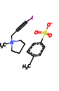 C[N+]1(CC#CI)CCCC1.Cc1ccc(S(=O)(=O)[O-])cc1